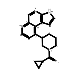 O=C(C1CC1)N1CCCC(c2ccnc3cnc4[nH]ccc4c23)C1